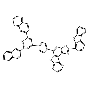 c1ccc2cc(-c3nc(-c4ccc(-c5cc6oc(-c7cccc8c7oc7ccccc78)nc6c6c5oc5ccccc56)cc4)nc(-c4ccc5ccccc5c4)n3)ccc2c1